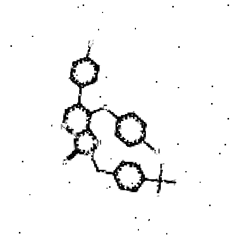 O=c1n(Cc2ccc(C(F)(F)F)cc2)nc2c(Oc3ccc(Cl)cc3)c(-c3ccc(Cl)cc3)cnn12